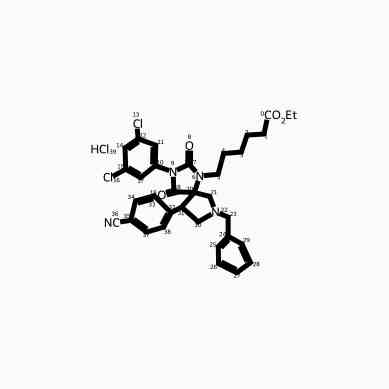 CCOC(=O)CCCCCN1C(=O)N(c2cc(Cl)cc(Cl)c2)C(=O)C12CN(Cc1ccccc1)CC2c1ccc(C#N)cc1.Cl